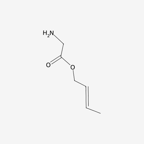 CC=CCOC(=O)CN